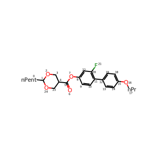 CCCCCC1OCC(C(=O)Oc2ccc(-c3ccc(OCCC)cc3)c(F)c2)CO1